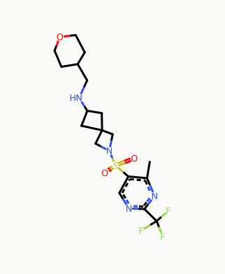 Cc1nc(C(F)(F)F)ncc1S(=O)(=O)N1CC2(CC(NCC3CCOCC3)C2)C1